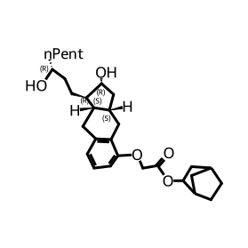 CCCCC[C@@H](O)CC[C@@H]1[C@H]2Cc3cccc(OCC(=O)OC4CC5CCC4C5)c3C[C@H]2C[C@H]1O